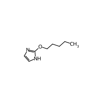 CCCCCOc1ncc[nH]1